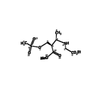 CCOC(=O)CNC(C)[C@H](COS(C)(=O)=O)C(=O)OC